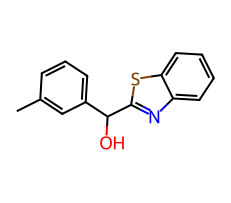 Cc1cccc(C(O)c2nc3ccccc3s2)c1